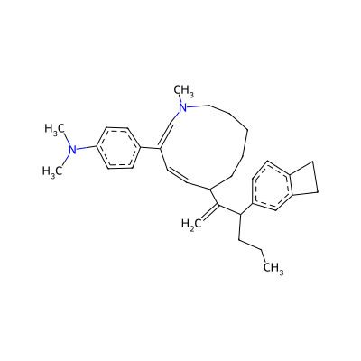 C=C(C1/C=C\C(c2ccc(N(C)C)cc2)=C/N(C)CCCCC1)C(CCC)c1ccc2c(c1)CC2